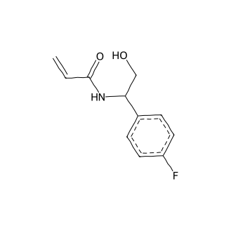 C=CC(=O)NC(CO)c1ccc(F)cc1